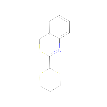 c1ccc2c(c1)CSC(C1SCCCS1)=N2